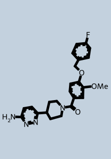 COc1cc(C(=O)N2CCC(c3ccc(N)nn3)CC2)ccc1OCc1ccc(F)cc1